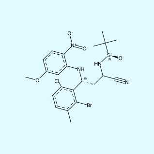 COc1ccc([N+](=O)[O-])c(N[C@H](CC(C#N)N[S@+]([O-])C(C)(C)C)c2c(Cl)ccc(C)c2Br)c1